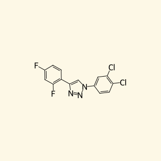 Fc1ccc(-c2cn(-c3ccc(Cl)c(Cl)c3)nn2)c(F)c1